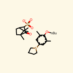 CC12CCC(C(S(=O)(=O)[O-])C1=O)C2(C)C.CCCCOc1c(C)cc([S+]2CCCC2)cc1C